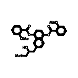 COc1ccccc1C(=O)Oc1ccc(OC(=O)c2ccccc2OC)c2cc(CC(O)CSC)ccc12